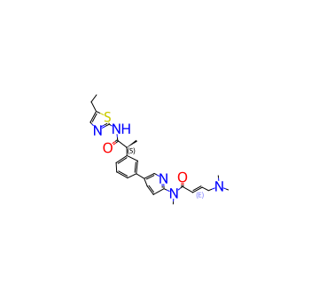 CCc1cnc(NC(=O)[C@@H](C)c2cccc(-c3ccc(N(C)C(=O)/C=C/CN(C)C)nc3)c2)s1